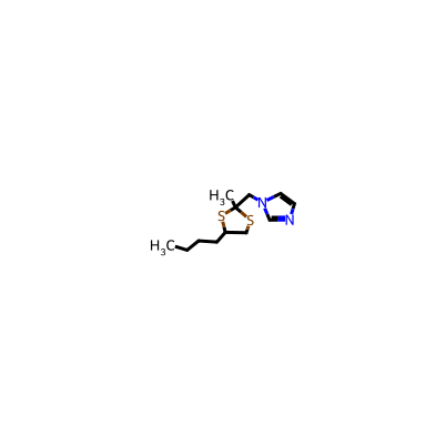 CCCCC1CSC(C)(Cn2ccnc2)S1